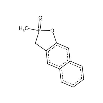 CP1(=O)Cc2cc3ccccc3cc2O1